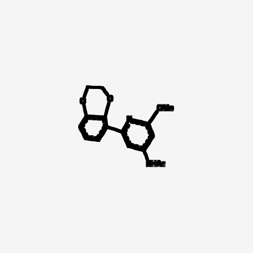 COc1cc(NC(C)=O)cc(-c2cccc3c2OCCO3)n1